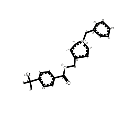 CCC(C)(C)c1ccc(C(=O)OCc2cc[n+](Cc3ccccc3)cc2)cc1